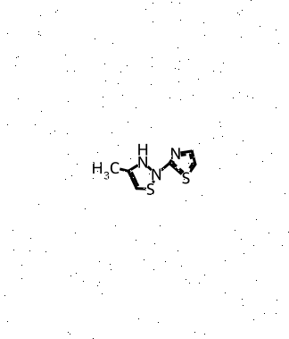 CC1=CSN(c2nccs2)N1